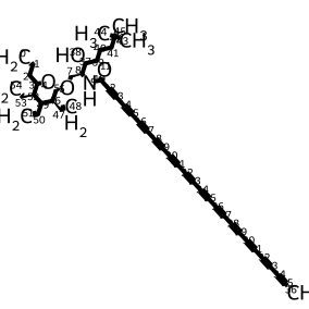 C=CCC1O[C@H](OC[C@H](NC(=O)C#CC#CC#CC#CC#CC#CC#CC#CC#CC#CC#CC#CC)[C@H](O)CCCC(C)(C)C)[C@@H](C=C)C(C=C)[C@H]1C=C